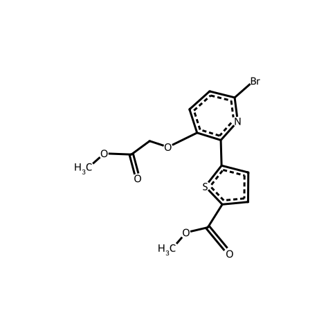 COC(=O)COc1ccc(Br)nc1-c1ccc(C(=O)OC)s1